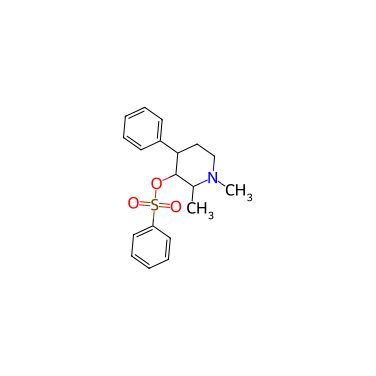 CC1C(OS(=O)(=O)c2ccccc2)C(c2ccccc2)CCN1C